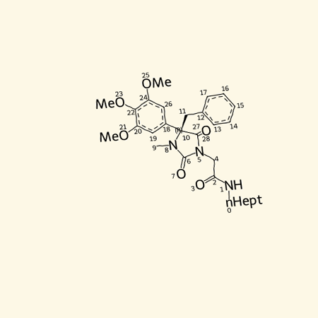 CCCCCCCNC(=O)CN1C(=O)N(C)[C@](Cc2ccccc2)(c2cc(OC)c(OC)c(OC)c2)C1=O